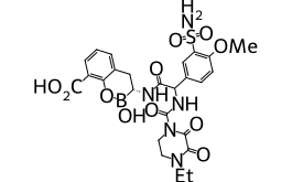 CCN1CCN(C(=O)NC(C(=O)N[C@H]2Cc3cccc(C(=O)O)c3OB2O)c2ccc(OC)c(S(N)(=O)=O)c2)C(=O)C1=O